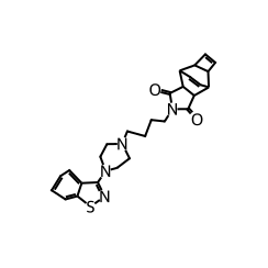 O=C1C2C3C=CC(C4C=CC43)C2C(=O)N1CCCCN1CCN(c2nsc3ccccc23)CC1